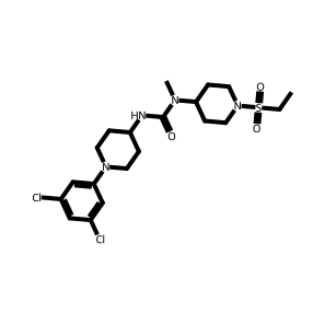 CCS(=O)(=O)N1CCC(N(C)C(=O)NC2CCN(c3cc(Cl)cc(Cl)c3)CC2)CC1